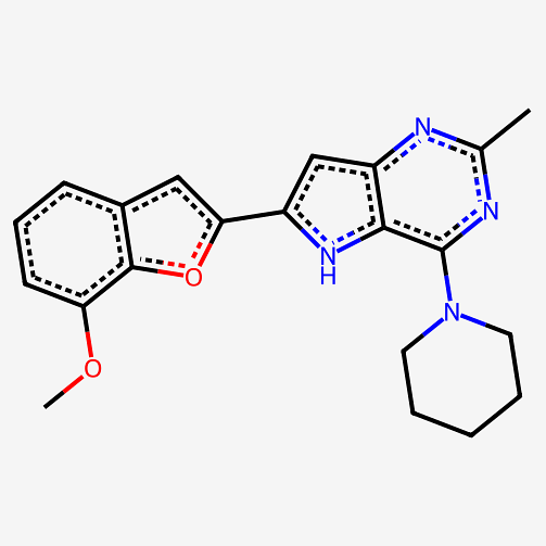 COc1cccc2cc(-c3cc4nc(C)nc(N5CCCCC5)c4[nH]3)oc12